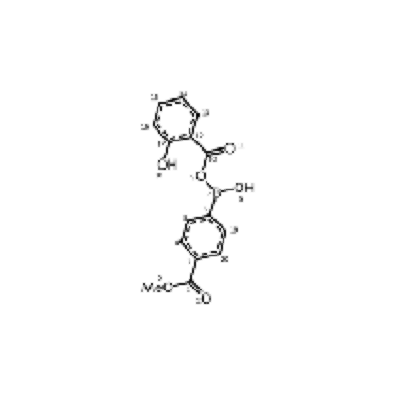 COC(=O)c1ccc(B(O)OC(=O)c2ccccc2O)cc1